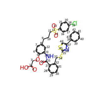 O=C(O)COc1ccc(CCCS(=O)(=O)c2ccc(Cl)cc2)cc1NC(=O)c1ccccc1CSc1nc(-c2ccccc2)cs1